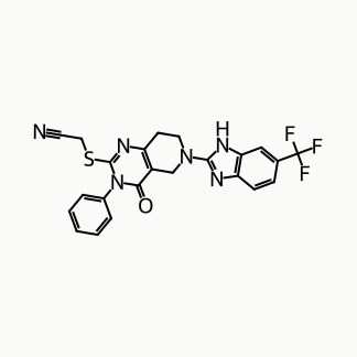 N#CCSc1nc2c(c(=O)n1-c1ccccc1)CN(c1nc3ccc(C(F)(F)F)cc3[nH]1)CC2